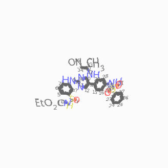 CCOC(=O)/N=[SH](=O)\c1cccc(Nc2ncc(-c3ccc(NS(=O)(=O)c4ccccc4)cc3)c(NC(C)CN=O)n2)c1